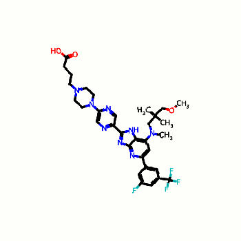 COCC(C)(C)CN(C)c1cc(-c2cc(F)cc(C(F)(F)F)c2)nc2nc(-c3cnc(N4CCN(CCCC(=O)O)CC4)cn3)[nH]c12